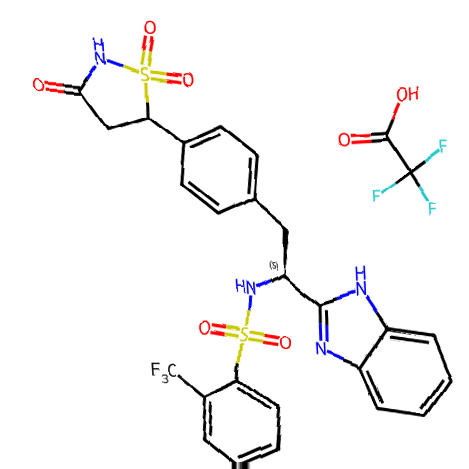 O=C(O)C(F)(F)F.O=C1CC(c2ccc(C[C@H](NS(=O)(=O)c3ccccc3C(F)(F)F)c3nc4ccccc4[nH]3)cc2)S(=O)(=O)N1